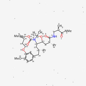 CNC(=O)[C@H](C)CNC(=O)[C@@H](CC1OC(C)(C)N(C(=O)OC(C)(C)C)C1C[C@@H](Cc1ccc(OC)c(OCCCOC)c1)C(C)C)C(C)C